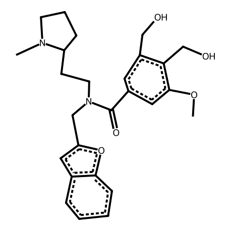 COc1cc(C(=O)N(CCC2CCCN2C)Cc2cc3ccccc3o2)cc(CO)c1CO